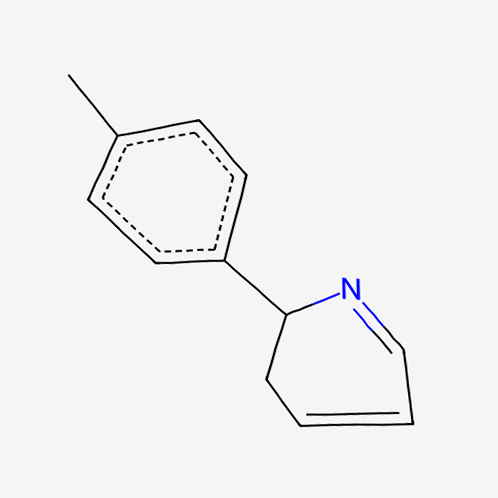 Cc1ccc(C2CC=CC=N2)cc1